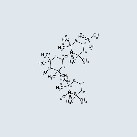 CC1(C)CCCC(C)(C)N1[O].CC1(C)CCCC(C)(C)N1[O].CC1(C)CCCC(C)(C)N1[O].OP(O)O